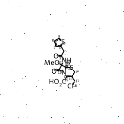 COC1(NC(=O)Cc2cccs2)C(=O)N2C(C(=O)O)=C(CCl)CS[C@@H]21